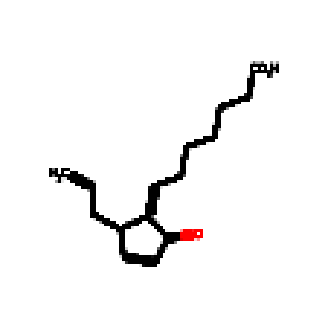 C=CCC1C=CC(=O)C1=CCCCCCC(=O)O